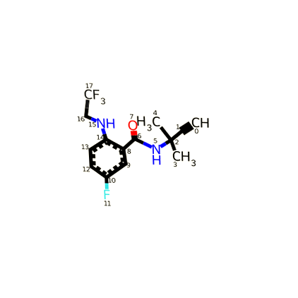 C#CC(C)(C)NC(=O)c1cc(F)ccc1NCC(F)(F)F